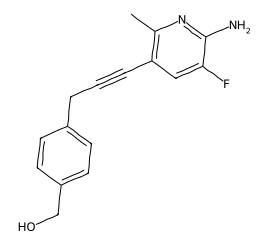 Cc1nc(N)c(F)cc1C#CCc1ccc(CO)cc1